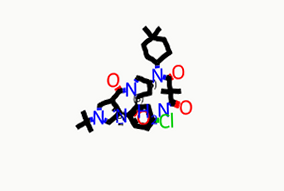 CN(C)C(=O)[C@@H]1C[C@H](N(C(=O)C(C)(C)C(N)=O)C2CCC(C)(C)CC2)CN1C(=O)C1CN(C(C)(C)C)C[C@@H]1c1ccc(Cl)cc1